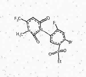 CCS(=O)(=O)c1cc(-n2c(=O)cc(C(F)(F)F)n(C)c2=O)c(F)cc1Br